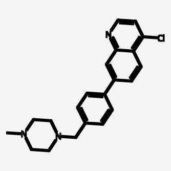 CN1CCN(Cc2ccc(-c3ccc4c(Cl)ccnc4c3)cc2)CC1